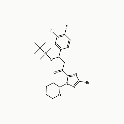 CC(C)(C)[Si](C)(C)OC(CC(=O)c1nc(Br)nn1C1CCCCO1)c1ccc(F)c(F)c1